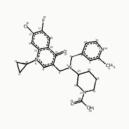 Cc1cc(CN(Cc2cn(C3CC3)c3cc(Cl)c(F)cc3c2=O)C2CCCN(C(=O)O)C2)ccn1